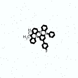 CC1(C)c2ccccc2N2c3cc(-c4ccc(F)cc4)cc4c3B(c3ccccc3N4c3ccccc3)c3cccc1c32